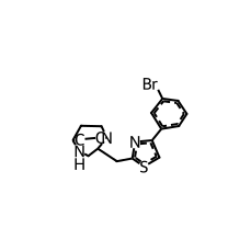 Brc1cccc(-c2csc(CC3CNC4CCN3CC4)n2)c1